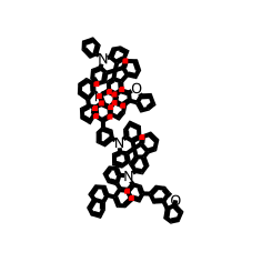 c1ccc(N2c3ccccc3C3(c4ccccc4-c4ccc(N(c5ccc(-c6cccc(N7c8ccccc8C8(c9ccccc9-c9ccc(N(c%10cccc(-c%11ccc%12oc%13ccccc%13c%12c%11)c%10)c%10ccccc%10-c%10ccccc%10-c%10cccc%11ccccc%10%11)cc98)c8ccccc87)c6)cc5-c5ccc6oc7ccccc7c6c5)c5ccccc5-c5ccccc5-c5cccc6ccccc56)cc43)c3ccccc32)cc1